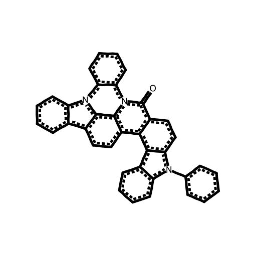 O=c1c2ccc3c(c4ccccc4n3-c3ccccc3)c2c2ccc3c4ccccc4n4c5ccccc5n1c2c34